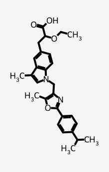 CCOC(Cc1ccc2c(c1)c(C)cn2Cc1nc(-c2ccc(C(C)C)cc2)oc1C)C(=O)O